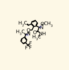 C=Cc1cccc(/C(=N\OC)C(=O)NC)c1CO/N=C(\C)c1cccc(C(F)(F)F)c1